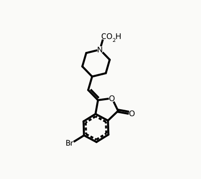 O=C1OC(=CC2CCN(C(=O)O)CC2)c2cc(Br)ccc21